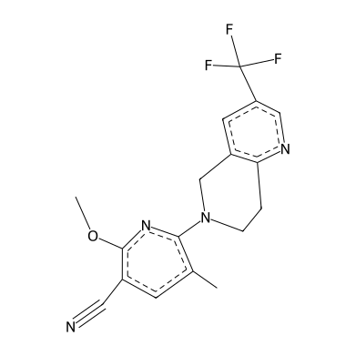 COc1nc(N2CCc3ncc(C(F)(F)F)cc3C2)c(C)cc1C#N